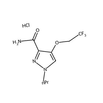 CCCn1cc(OCC(F)(F)F)c(C(N)=O)n1.Cl